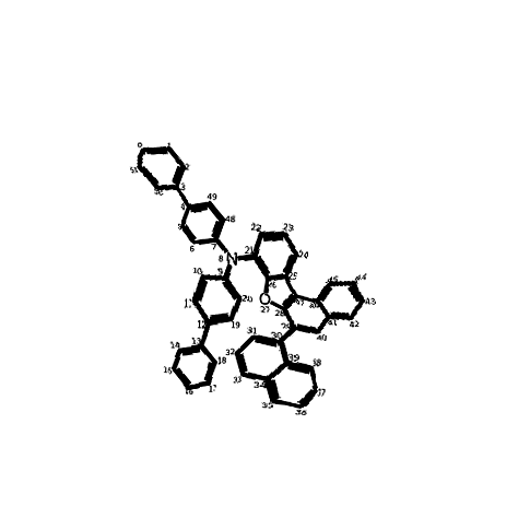 c1ccc(-c2ccc(N(c3ccc(-c4ccccc4)cc3)c3cccc4c3oc3c(-c5cccc6ccccc56)cc5ccccc5c34)cc2)cc1